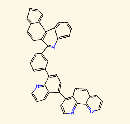 c1cc(-c2nc3ccccc3c3c2ccc2ccccc23)cc(-c2ccc(-c3ccnc4c3ccc3cccnc34)c3cccnc23)c1